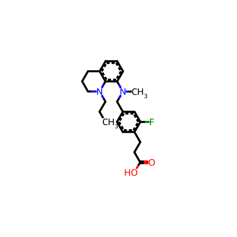 CCCN1CCCc2cccc(N(C)Cc3ccc(CCC(=O)O)c(F)c3)c21